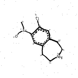 C[S+]([O-])c1cc2c(cc1Cl)CCNCC2